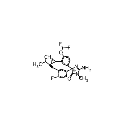 CC(C)C#Cc1cc([C@@]2(c3ccc(OC(F)F)c(C4CC4)c3)N=C(N)N(C)C2=O)ccc1F